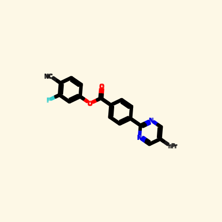 CCCc1cnc(-c2ccc(C(=O)Oc3ccc(C#N)c(F)c3)cc2)nc1